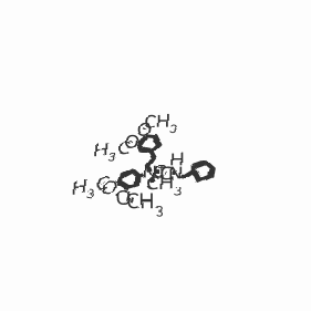 COc1ccc(CC[N+](C)(CCNCc2ccccc2)c2ccc(OC)c(OC)c2)cc1OC